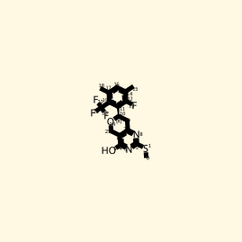 CSc1nc(O)c2c(n1)C[C@H](c1c(F)c(C)cc(C)c1C(F)(F)F)OC2